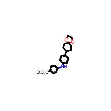 CCOC(=O)c1ccc(Nc2ccc(C3CCC4(CC3)OCCO4)cc2)cc1